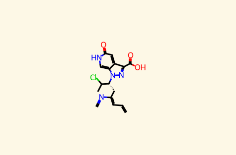 C=C/C=C(\C[C@H](C(C)Cl)n1nc(C(=O)O)c2cc(=O)[nH]cc21)N=C